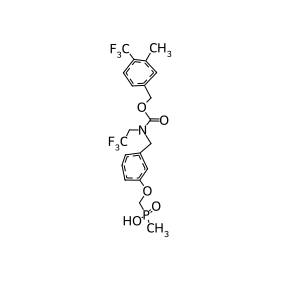 Cc1cc(COC(=O)N(Cc2cccc(OCP(C)(=O)O)c2)CC(F)(F)F)ccc1C(F)(F)F